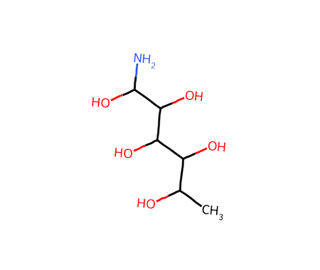 CC(O)C(O)C(O)C(O)C(N)O